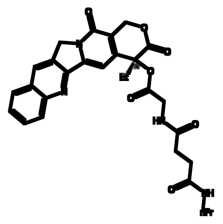 CCCNC(=O)CCC(=O)NCC(=O)O[C@]1(CC)C(=O)OCc2c1cc1n(c2=O)Cc2cc3ccccc3nc2-1